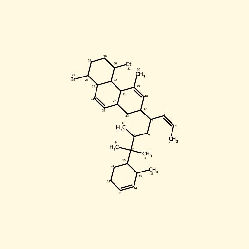 C/C=C\C(CC(C)C(C)(C)C1CCC=CC1C)C1C=C(C)C2C(C=CC3C(Br)CCC(CC)C32)C1